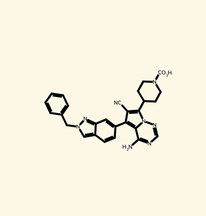 N#Cc1c(-c2ccc3cn(Cc4ccccc4)nc3c2)c2c(N)ncnn2c1C1CCN(C(=O)O)CC1